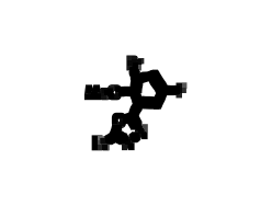 CCc1nnc(-c2cc(F)cc(Br)c2OC)o1